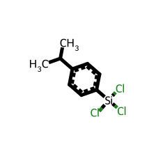 CC(C)c1ccc([Si](Cl)(Cl)Cl)cc1